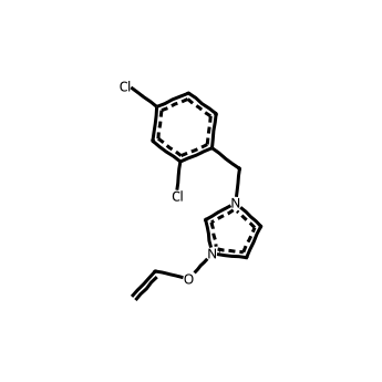 C=CO[n+]1ccn(Cc2ccc(Cl)cc2Cl)c1